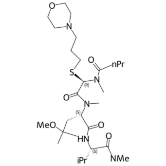 CCCC(=O)N(C)[C@H](SCCCN1CCOCC1)C(=O)N(C)[C@@H](CC(C)(C)OC)C(=O)N[C@H](C(=O)NC)C(C)C